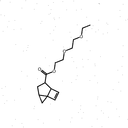 CCOCCOCCOC(=O)C1CC2CC23C=CC13